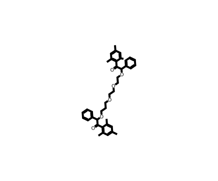 Cc1cc(C)c(C(=O)C(OCCCOCCOCCOC(C(=O)c2c(C)cc(C)cc2C)c2ccccc2)c2ccccc2)c(C)c1